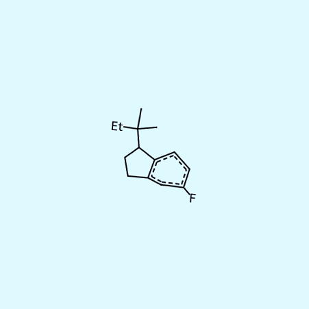 CCC(C)(C)C1CCc2cc(F)ccc21